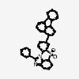 O=S1(=O)c2cc(-c3ccc4c5c(cccc35)-c3ccccc3-4)ccc2-n2c(-c3ccccc3)nc3cccc1c32